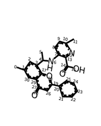 Cc1cc(C(C)Nc2ccc(C)nc2C(=O)O)c2oc(-c3ccccc3)cc(=O)c2c1